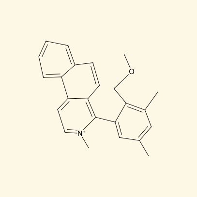 COCc1c(C)cc(C)cc1-c1c2ccc3ccccc3c2cc[n+]1C